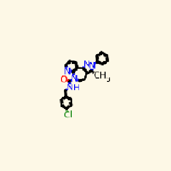 Cc1c2c(nn1-c1ccccc1)-c1cccnc1N(C(=O)NCc1ccc(Cl)cc1)CC2